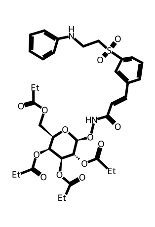 CCC(=O)OC[C@H]1O[C@@H](ONC(=O)/C=C/c2cccc(S(=O)(=O)CCNc3ccccc3)c2)[C@H](OC(=O)CC)[C@@H](OC(=O)CC)[C@H]1OC(=O)CC